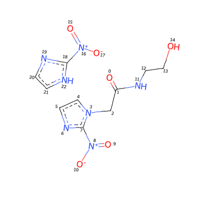 O=C(Cn1ccnc1[N+](=O)[O-])NCCO.O=[N+]([O-])c1ncc[nH]1